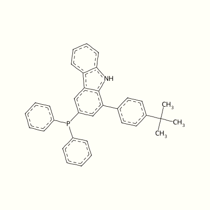 CC(C)(C)c1ccc(-c2cc(P(c3ccccc3)c3ccccc3)cc3c2[nH]c2ccccc23)cc1